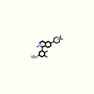 Cc1cc(C(C)(C)C)cc(-c2c3ccc(C4CC[Si](C)(C)CC4)cc3cc[n+]2C)c1C